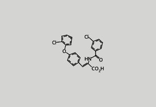 O=C(O)/C(=C/c1ccc(Oc2ccccc2Cl)cc1)NC(=O)c1cccc(Cl)c1